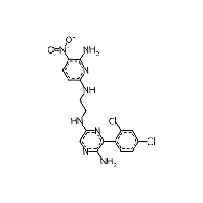 Nc1nc(NCCNc2cnc(N)c(-c3ccc(Cl)cc3Cl)n2)ccc1[N+](=O)[O-]